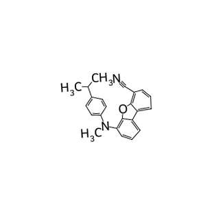 CC(C)c1ccc(N(C)c2cccc3c2oc2c(C#N)cccc23)cc1